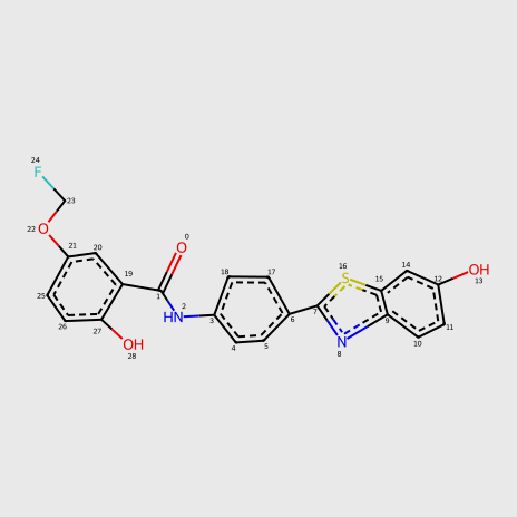 O=C(Nc1ccc(-c2nc3ccc(O)cc3s2)cc1)c1cc(OCF)ccc1O